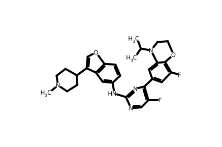 CC(C)N1CCOc2c(F)cc(-c3nc(Nc4ccc5occ(C6CCN(C)CC6)c5c4)ncc3F)cc21